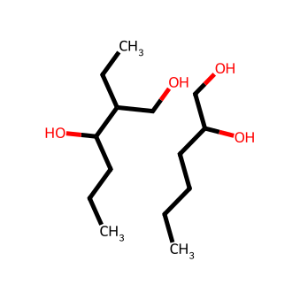 CCCC(O)C(CC)CO.CCCCC(O)CO